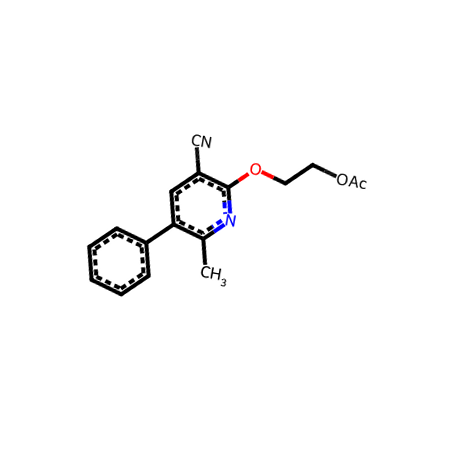 CC(=O)OCCOc1nc(C)c(-c2ccccc2)cc1C#N